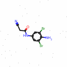 N#CCC(=O)Nc1cc(Br)c(N)c(Br)c1